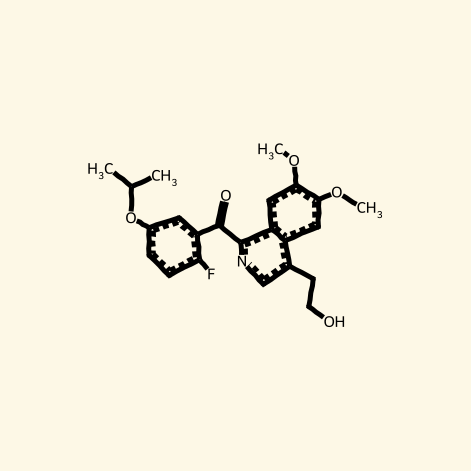 COc1cc2c(CCO)cnc(C(=O)c3cc(OC(C)C)ccc3F)c2cc1OC